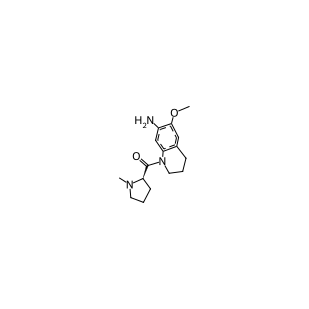 COc1cc2c(cc1N)N(C(=O)[C@H]1CCCN1C)CCC2